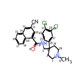 CN1CCC(CNC(=O)c2cc(C#N)cc3ccccc23)(c2ccc(Cl)c(Cl)c2)CC1